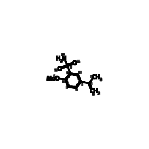 C=C(C)c1ccc(OC)c(S(N)(=O)=O)c1